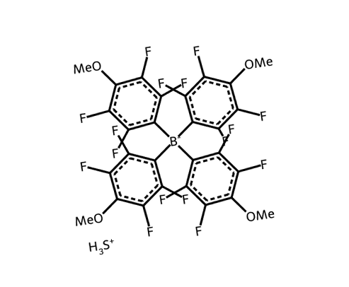 COc1c(F)c(F)c([B-](c2c(F)c(F)c(OC)c(F)c2F)(c2c(F)c(F)c(OC)c(F)c2F)c2c(F)c(F)c(OC)c(F)c2F)c(F)c1F.[SH3+]